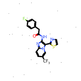 O=C(Cc1ccc(F)cc1)Nc1nc2ccc(C(F)(F)F)cn2c1-c1nccs1